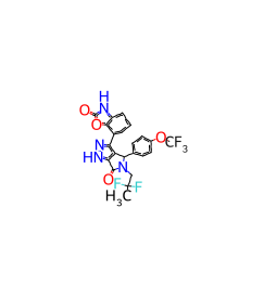 CC(F)(F)CN1C(=O)c2[nH]nc(-c3cccc4[nH]c(=O)oc34)c2C1c1ccc(OC(F)(F)F)cc1